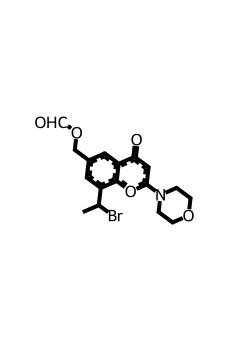 CC(Br)c1cc(COC=O)cc2c(=O)cc(N3CCOCC3)oc12